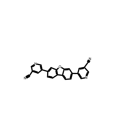 N#Cc1cncc(-c2ccc3c(c2)oc2cc(-c4cncc(C#N)c4)ccc23)c1